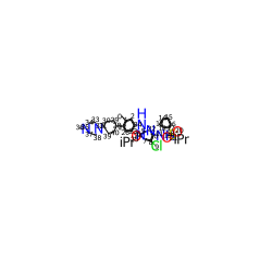 Cc1cc(Nc2ncc(Cl)c(Nc3ccccc3S(=O)(=O)C(C)C)n2)c(OC(C)C)cc1C1CCC(N2CCN(C)CC2)CC1